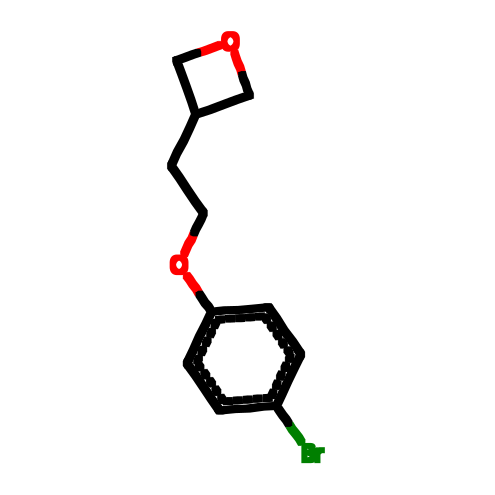 Brc1ccc(OCCC2COC2)cc1